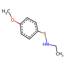 CCNSc1ccc(OC)cc1